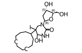 O=C1NC(O)C(I)(C2CCCCCCCCC2)CN1[C@H]1C[C@H](O)[C@@H](CO)O1